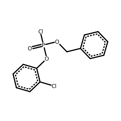 O=P(Cl)(OCc1ccccc1)Oc1ccccc1Cl